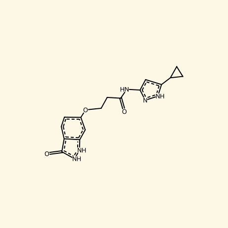 O=C(CCOc1ccc2c(=O)[nH][nH]c2c1)Nc1cc(C2CC2)[nH]n1